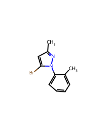 Cc1cc(Br)n(-c2ccccc2C)n1